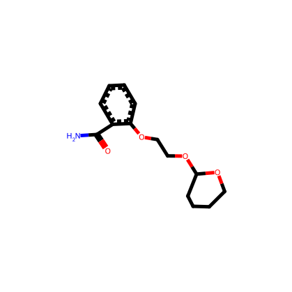 NC(=O)c1ccccc1OCCOC1CCCCO1